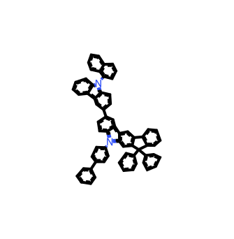 c1ccc(-c2ccc(-n3c4ccc(-c5ccc6c(c5)c5ccccc5n6-c5cccc6ccccc56)cc4c4cc5c(cc43)C(c3ccccc3)(c3ccccc3)c3ccccc3-5)cc2)cc1